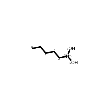 CCCCC[N+](O)O